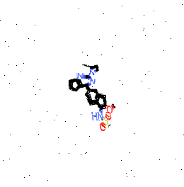 COC1Cc2cc(-c3nc(N4CC[C@@H]4C)nc4c3CCC4)ccc2C1NS(C)(=O)=O